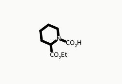 CCOC(=O)C1CCCCN1C(=O)O